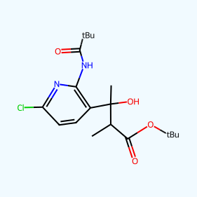 CC(C(=O)OC(C)(C)C)C(C)(O)c1ccc(Cl)nc1NC(=O)C(C)(C)C